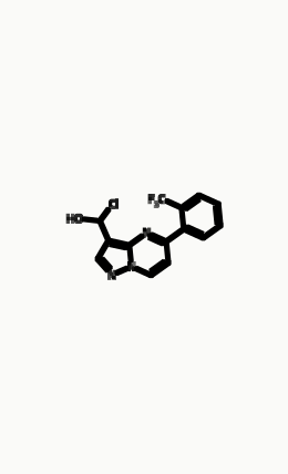 OC(Cl)c1cnn2ccc(-c3ccccc3C(F)(F)F)nc12